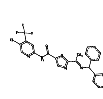 CC(=NC(c1ccccc1)c1ccccc1)c1ncc(C(=O)Nc2cc(C(F)(F)F)c(Cl)cn2)s1